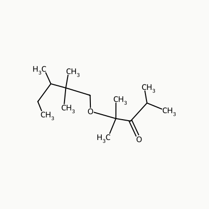 CCC(C)C(C)(C)COC(C)(C)C(=O)C(C)C